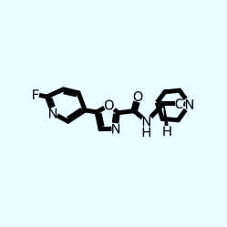 O=C(N[C@H]1CN2CCC1CC2)c1ncc(-c2ccc(F)nc2)o1